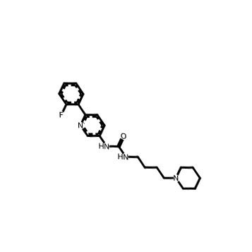 O=C(NCCCCN1CCCCC1)Nc1ccc(-c2ccccc2F)nc1